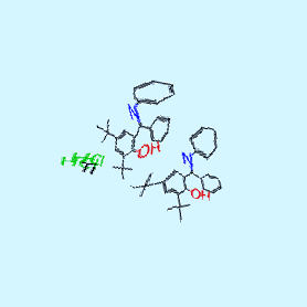 CC(C)(C)c1cc(C(=Nc2ccccc2)c2ccccc2)c(O)c(C(C)(C)C)c1.CC(C)(C)c1cc(C(=Nc2ccccc2)c2ccccc2)c(O)c(C(C)(C)C)c1.Cl.Cl.[Ti]